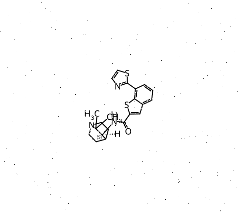 CC1(C)[C@@H](NC(=O)c2cc3cccc(-c4nccs4)c3s2)C2CCN1CC2